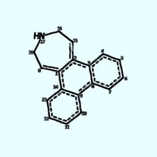 C1=c2c(c3ccccc3c3ccccc23)=CCNC1